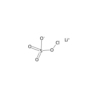 O=S(=O)([O-])OCl.[Li+]